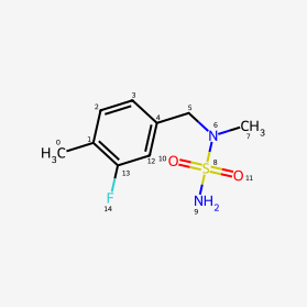 Cc1ccc(CN(C)S(N)(=O)=O)cc1F